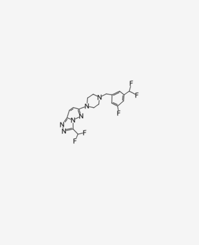 Fc1cc(CN2CCN(c3ccc4nnc(C(F)F)n4n3)CC2)cc(C(F)F)c1